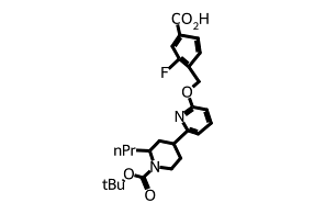 CCCC1CC(c2cccc(OCc3ccc(C(=O)O)cc3F)n2)CCN1C(=O)OC(C)(C)C